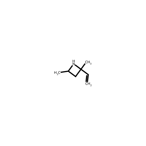 C=CC1(C)CC(C)N1